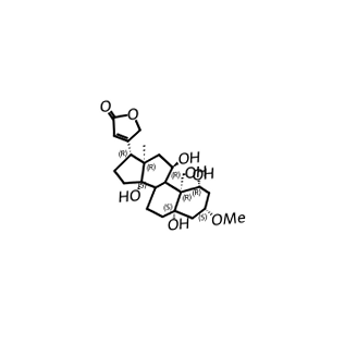 CO[C@H]1C[C@@H](O)[C@]2(CO)C3C(CC[C@]2(O)C1)[C@@]1(O)CC[C@H](C2=CC(=O)OC2)[C@@]1(C)C[C@H]3O